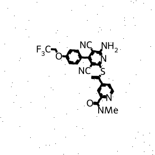 C=C(Sc1nc(N)c(C#N)c(-c2ccc(OCC(F)(F)F)cc2)c1C#N)c1ccnc(C(=O)NC)c1